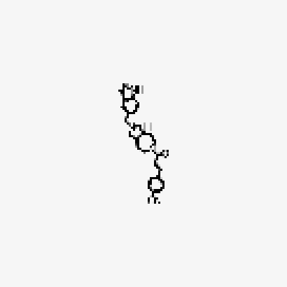 N#Cc1ccc(C=CC(=O)N2CC=C3CN(Cc4ccc5[nH]nnc5c4)C[C@H]3CC2)cc1